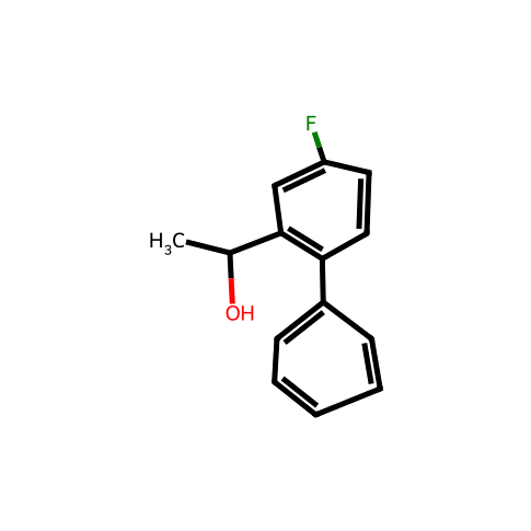 CC(O)c1cc(F)ccc1-c1ccccc1